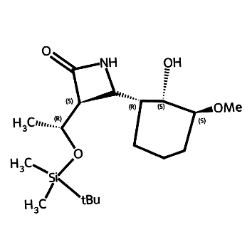 CO[C@H]1CCC[C@H](C2NC(=O)[C@@H]2[C@@H](C)O[Si](C)(C)C(C)(C)C)[C@@H]1O